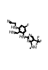 CNc1nc(Nc2cc(F)cc(NCC#N)c2C=N)ncc1C(F)(F)F